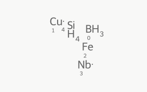 B.[Cu].[Fe].[Nb].[SiH4]